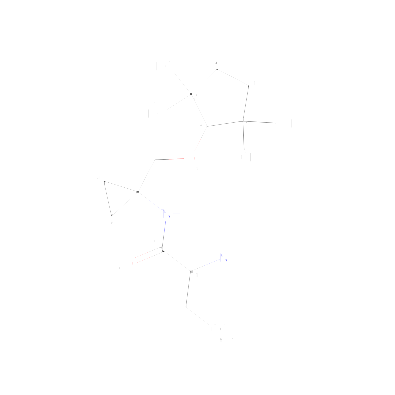 CC1(C)CCC(C)(C)C1OCC1(NC(=O)C(N)CC(=O)O)CC1